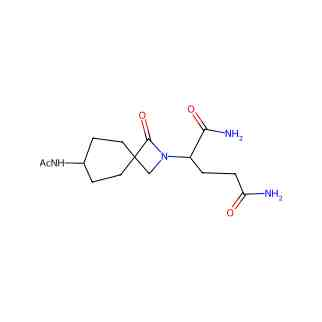 CC(=O)NC1CCC2(CC1)CN(C(CCC(N)=O)C(N)=O)C2=O